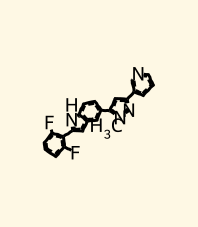 Cn1nc(-c2cccnc2)cc1-c1ccc2[nH]c(-c3c(F)cccc3F)cc2c1